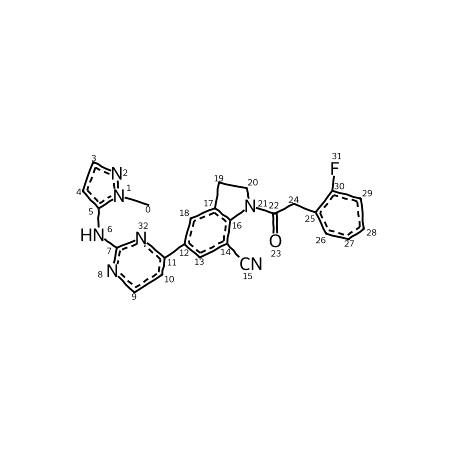 Cn1nccc1Nc1nccc(-c2cc(C#N)c3c(c2)CCN3C(=O)Cc2ccccc2F)n1